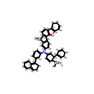 C[SiH2]C1C=CC(N(c2cccc(C3=c4ccccc4=CCC3)c2)c2ccc3c(c2)[SiH](C)c2ccc4c5c(oc4c2-3)C=CCC5)=CC1C1=CCCC=C1